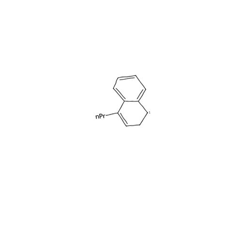 CCCC1=CC[C]c2ccccc21